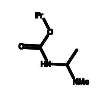 CNC(C)NC(=O)OC(C)C